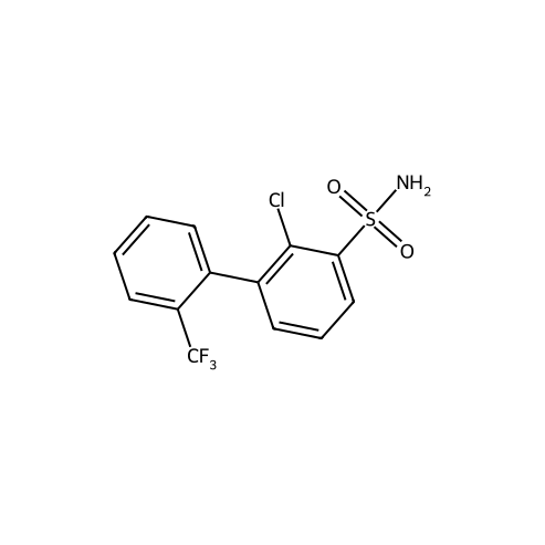 NS(=O)(=O)c1cccc(-c2ccccc2C(F)(F)F)c1Cl